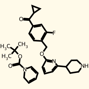 CC(C)(C)OC(=O)N1C=CC=CC1.O=C(c1ccc(COc2cccc(C3CCNCC3)n2)c(F)c1)C1CC1